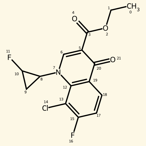 CCOC(=O)c1cn(C2CC2F)c2c(Cl)c(F)ccc2c1=O